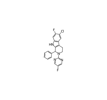 Fc1cnc(N2CCc3c([nH]c4cc(F)c(Cl)cc34)C2c2cc[c]cc2)nc1